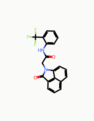 O=C(CN1C(=O)c2cccc3cccc1c23)Nc1ccccc1C(F)(F)F